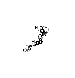 CCn1nc(-c2nc(N3CCc4cc(CNCCC(=O)OC(C)(C)C)ccc43)no2)c2c1CC(C)(C)CC2